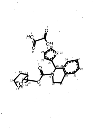 O=C(O)C(=O)O.O=C(OC1CN2CCC1CC2)N1CCc2ccccc2C1c1cccs1